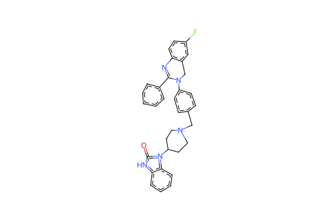 O=c1[nH]c2ccccc2n1C1CCN(Cc2ccc(N3Cc4cc(F)ccc4N=C3c3ccccc3)cc2)CC1